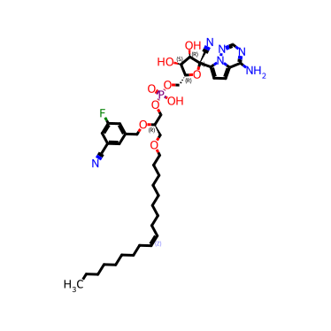 CCCCCCCC/C=C\CCCCCCCCOC[C@H](COP(=O)(O)OC[C@H]1O[C@@](C#N)(c2ccc3c(N)ncnn23)[C@H](O)[C@@H]1O)OCc1cc(F)cc(C#N)c1